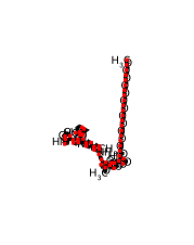 COCCOCCOCCOCCOCCOCCOCCOCCOCCOCCOCCOCCC(=O)N[C@@H](CC(=O)O)C(=O)CN1C(=O)CCN(c2cc(C#CCNC3(C)CCN(C4CCN(c5nc([C@@](CO)(OC6CC6)c6ccccc6)c6cc(-c7cn(C)c(=O)c8[nH]ccc78)ccc6n5)CC4)CC3)ccc2OC)C1=O